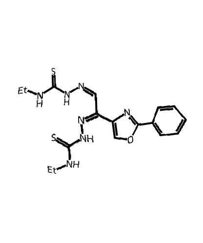 CCNC(=S)N/N=C\C(=N\NC(=S)NCC)c1coc(-c2ccccc2)n1